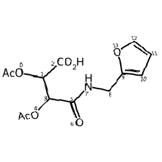 CC(=O)OC(C(=O)O)C(OC(C)=O)C(=O)NCc1ccco1